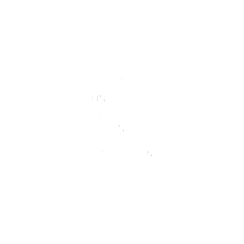 O=c1ccn(C2(F)SC=CN2Cl)c(=S)[nH]1